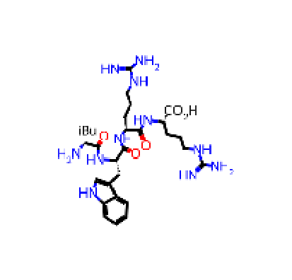 CC[C@H](C)[C@H](N)C(=O)N[C@@H](Cc1c[nH]c2ccccc12)C(=O)N[C@@H](CCCNC(=N)N)C(=O)N[C@@H](CCCNC(=N)N)C(=O)O